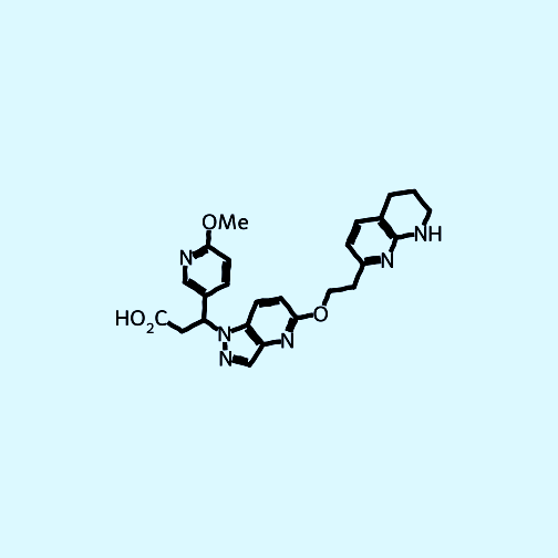 COc1ccc(C(CC(=O)O)n2ncc3nc(OCCc4ccc5c(n4)NCCC5)ccc32)cn1